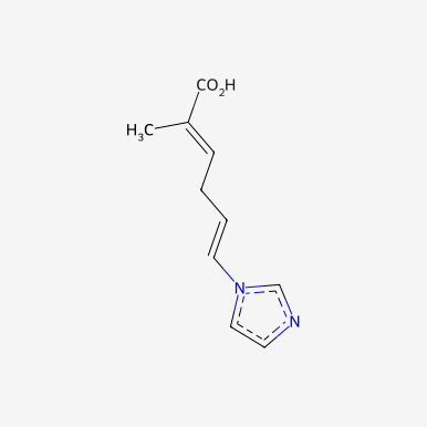 CC(=CCC=Cn1ccnc1)C(=O)O